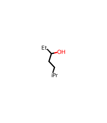 [CH2]CC(O)CCC(C)C